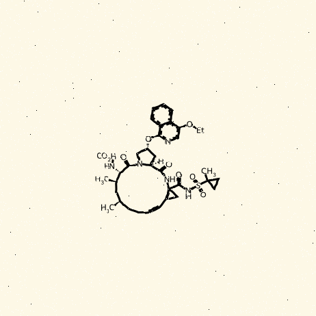 CCOc1cnc(O[C@@H]2C[C@H]3C(=O)NC4(C(=O)NS(=O)(=O)C5(C)CC5)CC4/C=C\CC[C@@H](C)C[C@@H](C)[C@H](NC(=O)O)C(=O)N3C2)c2ccccc12